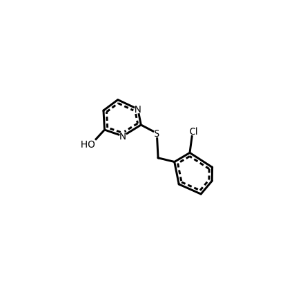 Oc1ccnc(SCc2ccccc2Cl)n1